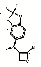 CC([C]1COC1Br)c1ccc2c(c1)OC(F)(F)O2